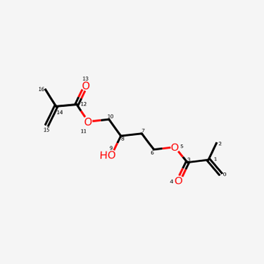 C=C(C)C(=O)OCCC(O)COC(=O)C(=C)C